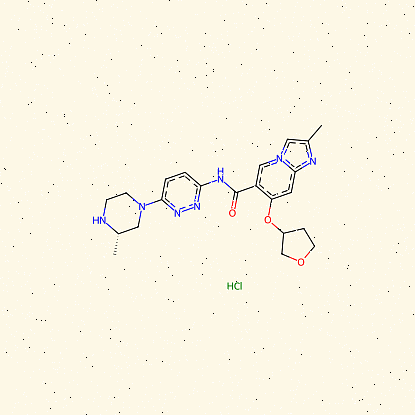 Cc1cn2cc(C(=O)Nc3ccc(N4CCN[C@@H](C)C4)nn3)c(OC3CCOC3)cc2n1.Cl